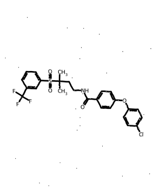 CC(C)(CCNC(=O)c1ccc(Oc2ccc(Cl)cc2)cc1)S(=O)(=O)c1cccc(C(F)(F)F)c1